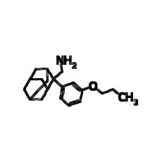 CCCOc1cccc(C2(CN)C3CC4CC(C3)CC2C4)c1